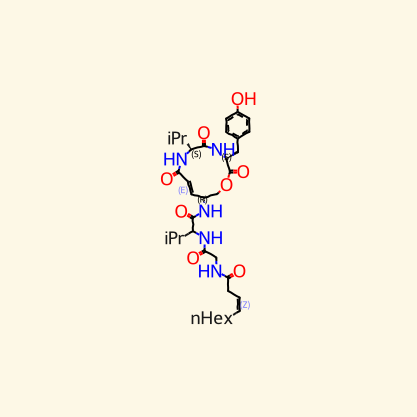 CCCCCC/C=C\CC(=O)NCC(=O)NC(C(=O)N[C@@H]1/C=C/C(=O)N[C@@H](C(C)C)C(=O)N[C@@H](Cc2ccc(O)cc2)C(=O)OC1)C(C)C